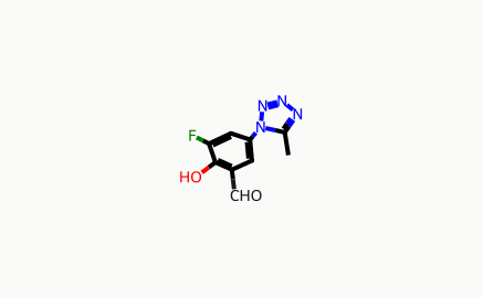 Cc1nnnn1-c1cc(F)c(O)c(C=O)c1